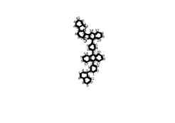 c1cc(-c2cccc3ccccc23)cc(-c2c3ccccc3c(-c3ccc(-c4c5ccccc5cc5c4sc4ccc6c7ccccc7sc6c45)cc3)c3ccccc23)c1